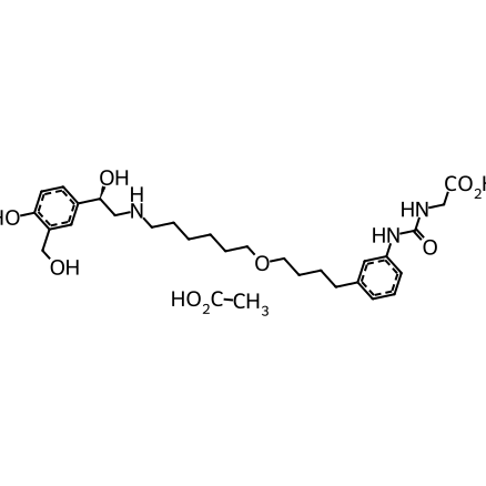 CC(=O)O.O=C(O)CNC(=O)Nc1cccc(CCCCOCCCCCCNC[C@H](O)c2ccc(O)c(CO)c2)c1